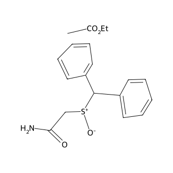 CCOC(C)=O.NC(=O)C[S+]([O-])C(c1ccccc1)c1ccccc1